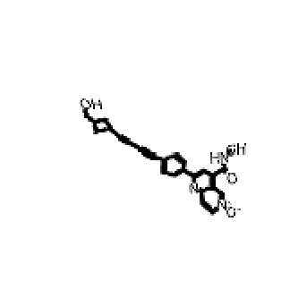 O=C(NO)c1cc(-c2ccc(C#CC#CC3CC(CO)C3)cc2)nc2cc[n+]([O-])cc12